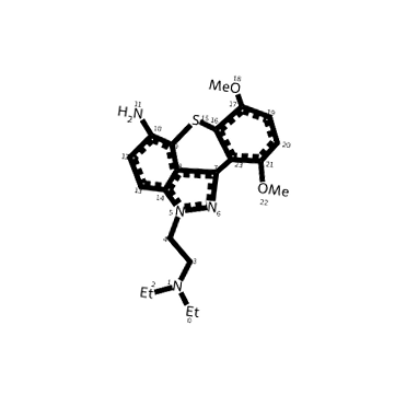 CCN(CC)CCn1nc2c3c(c(N)ccc31)Sc1c(OC)ccc(OC)c1-2